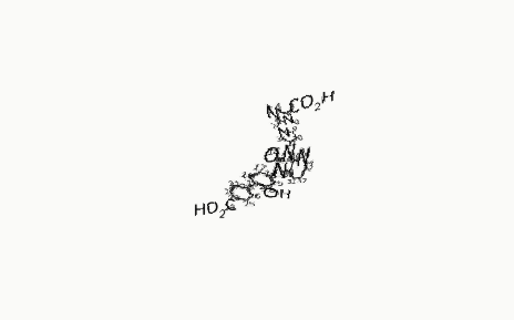 Cn1c(C(=O)O)cnc1CN1CCC(n2c(=O)n(-c3ccc(-c4ccc(C(=O)O)cc4)c(O)c3)c3cccnc32)C1